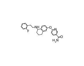 NC(=O)c1ccc(Oc2ccc3c(c2)CCCC3NCCc2ccccc2F)nc1